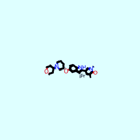 Cc1cc(-c2[nH]c3ccc(O[C@H]4CCCN(C5CCOCC5)C4)cc3c2C(C)C)cn(C)c1=O